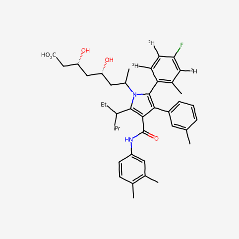 [2H]c1c([2H])c(-c2c(-c3cccc(C)c3)c(C(=O)Nc3ccc(C)c(C)c3)c(C(CC)C(C)C)n2C(C)C[C@@H](O)C[C@@H](O)CC(=O)O)c(C)c([2H])c1F